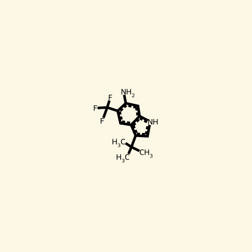 CC(C)(C)c1c[nH]c2cc(N)c(C(F)(F)F)cc12